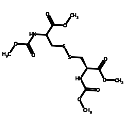 COC(=O)NC(CSSC[C@H](NC(=O)OC)C(=O)OC)C(=O)OC